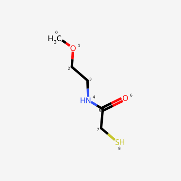 COCCNC(=O)CS